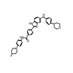 CN1CCN(c2ccc(NC(=O)c3ccc(-c4nc5cc(Nc6ccc(N7CCOCC7)cc6)ccc5[nH]4)cc3)cc2)CC1